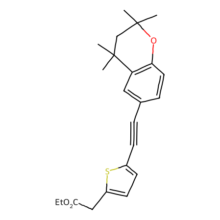 CCOC(=O)Cc1ccc(C#Cc2ccc3c(c2)C(C)(C)CC(C)(C)O3)s1